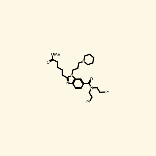 COC(=O)CCCCc1nc2ccc(C(=O)N(CCC(C)C)CCC(C)C)cc2n1CCCN1CCCCC1